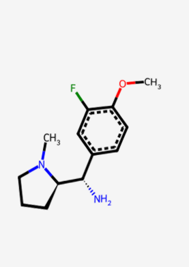 COc1ccc([C@H](N)[C@H]2CCCN2C)cc1F